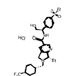 CC[C@H]1c2ncc(C(=O)N[C@@H](CO)c3ccc(S(=O)(=O)CC)cc3)cc2CN1C[C@H]1CC[C@H](C(F)(F)F)CC1.Cl